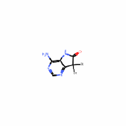 CCC1(CC)C(=O)Nc2c(N)ncnc21